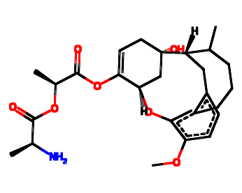 COc1ccc2c3c1O[C@@H]1C[C@@](O)(CC=C1OC(=O)[C@H](C)OC(=O)[C@H](C)N)[C@@H](C2)C(C)CCC3